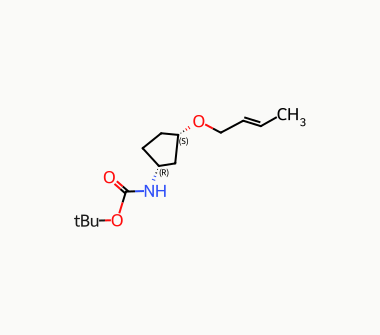 CC=CCO[C@H]1CC[C@@H](NC(=O)OC(C)(C)C)C1